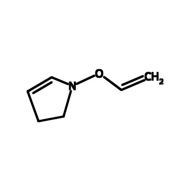 C=CON1C=CCC1